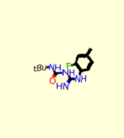 Cc1ccc(NC(=N)NC(=O)NC(C)(C)C)c(F)c1